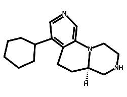 c1ncc2c(c1C1CCCCC1)CC[C@@H]1CNCCN21